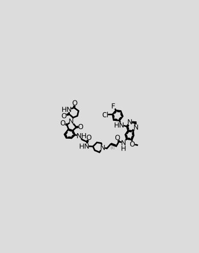 COc1cc2ncnc(Nc3ccc(F)c(Cl)c3)c2cc1NC(=O)/C=C/CN1CCC(NC(=O)CNc2cccc3c2C(=O)N(C2CCC(=O)NC2=O)C3=O)CC1